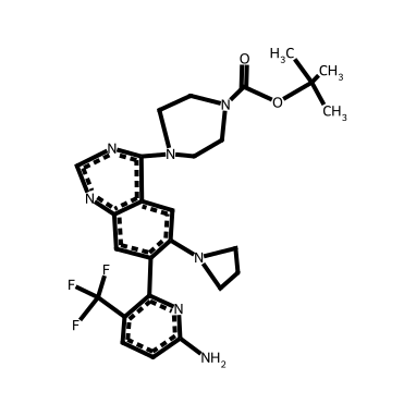 CC(C)(C)OC(=O)N1CCN(c2ncnc3cc(-c4nc(N)ccc4C(F)(F)F)c(N4CCC4)cc23)CC1